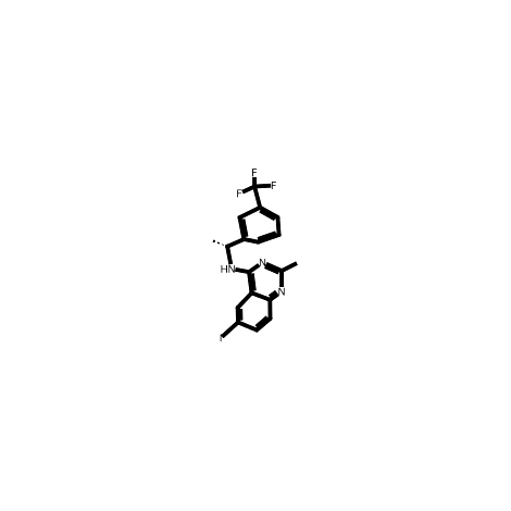 Cc1nc(N[C@H](C)c2cccc(C(F)(F)F)c2)c2cc(I)ccc2n1